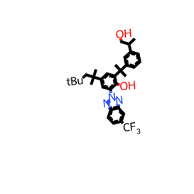 CC(CO)c1cccc(C(C)(C)c2cc(C(C)(C)CC(C)(C)C)cc(-n3nc4ccc(C(F)(F)F)cc4n3)c2O)c1